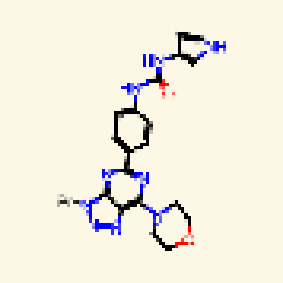 CC(C)n1nnc2c(N3CCOCC3)nc(-c3ccc(NC(=O)Nc4cc[nH]c4)cc3)nc21